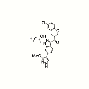 COc1n[nH]cc1-c1ccc2c(C(=O)C3COc4ccc(Cl)cc4C3)nn(CC(C)O)c2c1